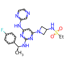 CCS(=O)(=O)NC1CN(c2cc(Nc3cnccn3)nc(N[C@@H](C)c3ccc(F)cc3)n2)C1